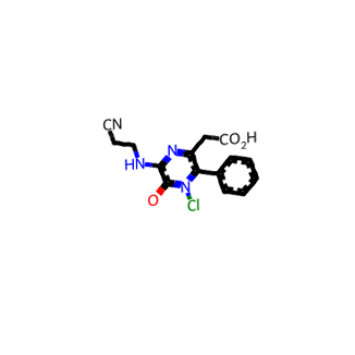 N#CCCNc1nc(CC(=O)O)c(-c2ccccc2)n(Cl)c1=O